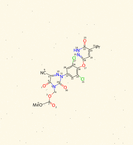 COC(=O)OCn1c(=O)c(C#N)nn(-c2cc(Cl)c(Oc3cc(C(C)C)c(=O)[nH]n3)c(Cl)c2)c1=O